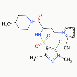 Cc1nn(C)c(Cl)c1S(=O)(=O)NC(CCn1cccc1C#N)C(=O)N1CCC(C)CC1